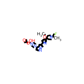 CCOC1(c2ccc(-c3cc4c(N5CCN(C(O)OC6COC6)CC5)ccnn4c3)nc2)CCN(C(C)CF)CC1